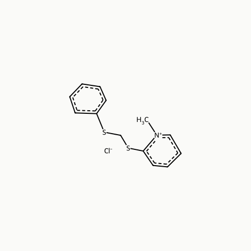 C[n+]1ccccc1SCSc1ccccc1.[Cl-]